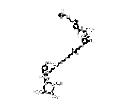 Cc1cc(OCCCC(=O)NCCCOCCOCCOCCCNC(=O)[C@@H](Cc2ccc(OS(=O)(=O)O)cc2)NC(=O)CN2CCN(CC(=O)O)CCN(CC(=O)O)CCN(C(=O)O)CC2)cc(C)c1S(=O)(=O)N[C@@H](CNC(=O)c1ccc2c(cnn2CCCNc2ncc[nH]2)c1)C(=O)O